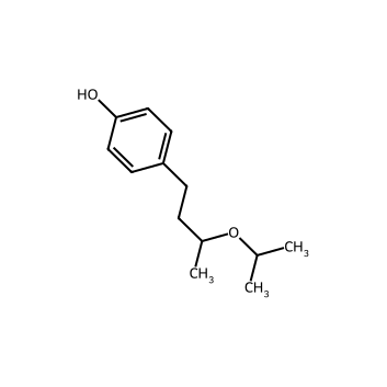 CC(C)OC(C)CCc1ccc(O)cc1